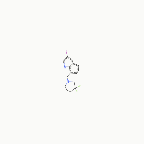 FC1(F)CCCN(Cc2cccc3cc(I)cnc23)C1